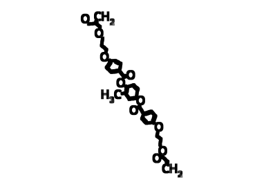 C=CC(=O)OCCCOc1ccc(C(=O)Oc2ccc(OC(=O)c3ccc(OCCCOCC(=C)C=O)cc3)c(C)c2)cc1